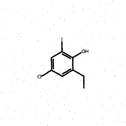 CCc1cc(Cl)cc(I)c1O